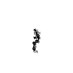 CC1(Cn2c(Cc3ccc(-c4cccc(OCc5ccc(C#N)cc5F)n4)cc3F)nc3ccc(C(=O)NS(=O)(=O)C4CC4)nc32)CC1